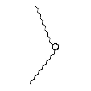 CCCCCCCCCCCCCc1c[c]cc(CCCCCCCCCCCCC)c1